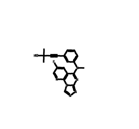 CN(c1cccc(C#CC(C)(C)O)c1)c1nc2nncn2c2ncc(F)cc12